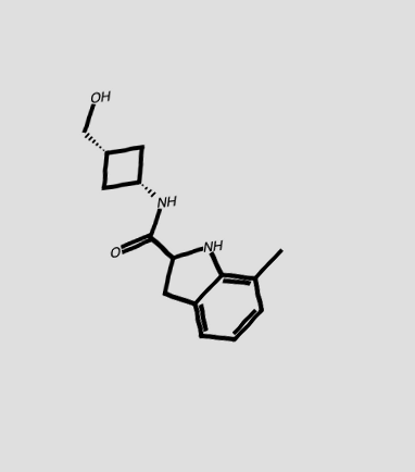 Cc1cccc2c1NC(C(=O)N[C@H]1C[C@@H](CO)C1)C2